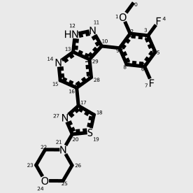 COc1c(F)cc(F)cc1-c1n[nH]c2ncc(-c3csc(N4CCOCC4)n3)cc12